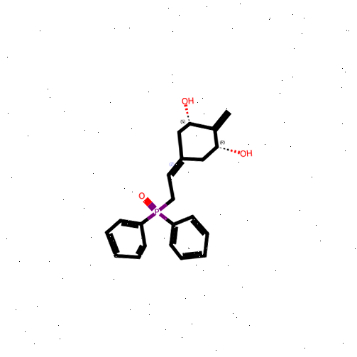 C=C1[C@H](O)C/C(=C\CP(=O)(c2ccccc2)c2ccccc2)C[C@@H]1O